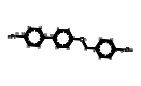 CCCCc1ccc(COc2ccc(-c3ccc(CCC)cc3)cc2)cc1